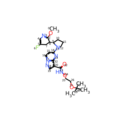 COC1=NC=C(F)CC1[C@H]1CCCN1c1ccn2ncc(C(=O)NOCCOC(C)(C)C)c2n1